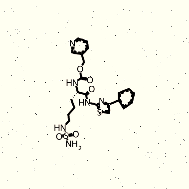 NS(=O)(=O)NCCCC[C@H](NC(=O)OCc1cccnc1)C(=O)Nc1nc(-c2ccccc2)cs1